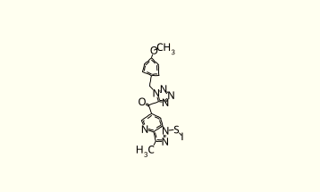 COc1ccc(Cn2nnnc2C(=O)c2cnc3c(C)nn(SI)c3c2)cc1